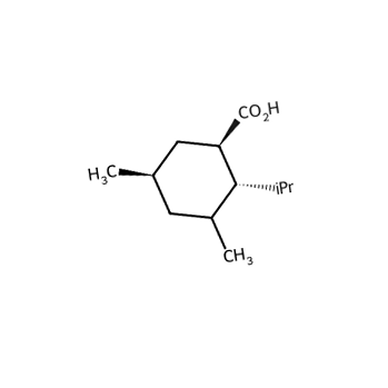 CC(C)[C@@H]1C(C)C[C@@H](C)C[C@H]1C(=O)O